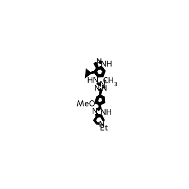 CCN1CCc2nc(-c3ccc(-c4nc(Nc5ccc6[nH]ncc6c5C5CC5)n(C)n4)cc3OC)[nH]c2C1